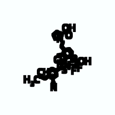 CCc1c(CCN2CCC[C@H]2C(=O)O)cccc1-c1nsc(-c2ccc(CC(C)C)c(C#N)c2)n1.O=C(O)C(F)(F)F